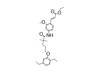 CCOC(=O)C=Cc1ccc(NC(=O)C(C)(C)CCCOc2cc(CC)ccc2CC)cc1OC